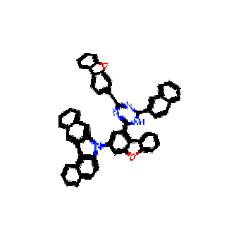 c1ccc2cc(C3N=C(c4ccc5c(c4)oc4ccccc45)N=C(c4cc(-n5c6cc7ccccc7cc6c6c7ccccc7ccc65)cc5oc6ccccc6c45)N3)ccc2c1